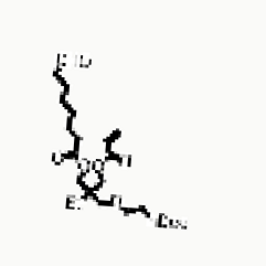 C=CC(=O)OCC(CC)(COCCCCCCCCCCCC)COC(=O)CCCCCCC=O